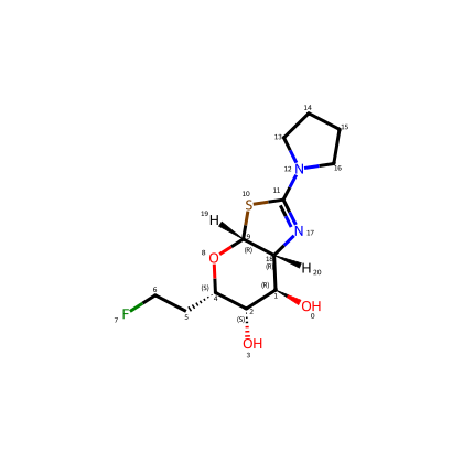 O[C@H]1[C@H](O)[C@H](CCF)O[C@@H]2SC(N3CCCC3)=N[C@H]12